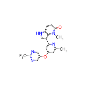 Cc1cc(Oc2cnc(C(F)(F)F)nc2)cc(-c2c[nH]c3ccc(=O)n(C)c23)n1